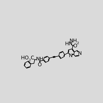 NNC(=O)c1cc(-c2ccc(C#Cc3ccc(C(=O)NC(Cc4ccccc4)C(=O)O)cc3)cc2)nc2ccncc12